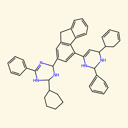 C1=CCC(C2C=C(c3cc(C4N=C(c5ccccc5)NC(C5CCCCC5)N4)cc4c3-c3ccccc3C4)NC(c3ccccc3)N2)C=C1